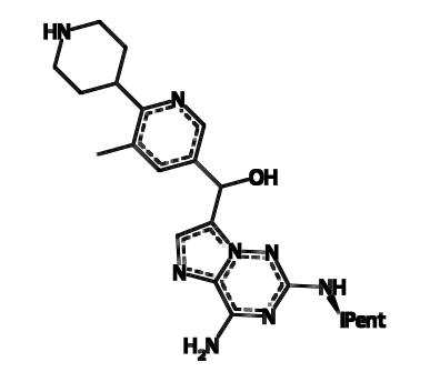 CCC[C@H](C)Nc1nc(N)c2ncc(C(O)c3cnc(C4CCNCC4)c(C)c3)n2n1